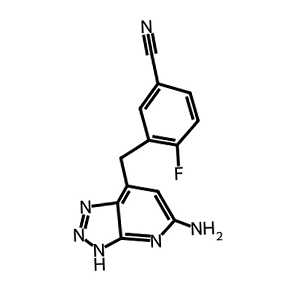 N#Cc1ccc(F)c(Cc2cc(N)nc3[nH]nnc23)c1